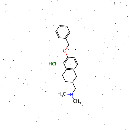 CN(C)CC1CCc2cc(OCc3ccccc3)ccc2C1.Cl